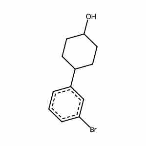 OC1CCC(c2cccc(Br)c2)CC1